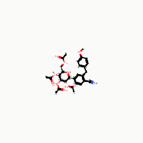 COc1ccc(Cc2cc([C@@H]3O[C@H](COC(C)=O)[C@@H](OC(C)=O)[C@H](OC(C)=O)[C@H]3OC(C)=O)ccc2C#N)cc1